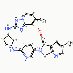 N#Cc1cnc2c(c1)C(=C=O)N(c1ccc(N[C@H]3CC[C@H](Nc4nc5cc(C(F)(F)F)ccn5n4)C3)nc1)C2